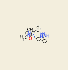 CCCCc1c(NCc2ccc(-c3ccccc3-c3nnn[nH]3)cc2)c(=O)n2n1C(C)CCC2C